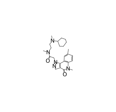 Cc1ccc2c(c1)c1c(cnn1CC(=O)N(C)CCN(C)C1CCCCC1)c(=O)n2C